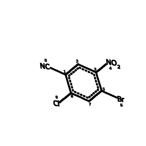 N#Cc1cc([N+](=O)[O-])c(Br)cc1Cl